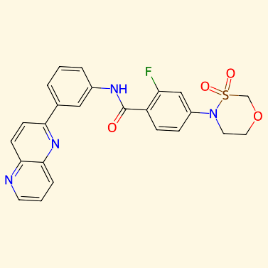 O=C(Nc1cccc(-c2ccc3ncccc3n2)c1)c1ccc(N2CCOCS2(=O)=O)cc1F